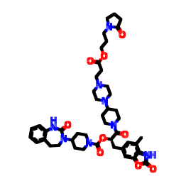 Cc1cc(C[C@@H](OC(=O)N2CCC(N3CCc4ccccc4NC3=O)CC2)C(=O)N2CCC(N3CCN(CCC(=O)OCCCN4CCCC4=O)CC3)CC2)cc2oc(=O)[nH]c12